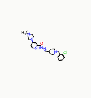 CN1CCN(c2ccnc(C(=O)N/N=C/C3CCN(Cc4ccccc4Cl)CC3)c2)CC1